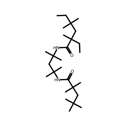 CCC(C)(C)CC(C)(CC)C(=O)NC(C)(C)CC(C)(C)NC(=O)C(C)(C)CC(C)(C)C